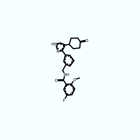 COc1ccc(F)cc1C(=O)NCc1cccc(-c2n[nH]cc2C2CCC(=O)CC2)c1